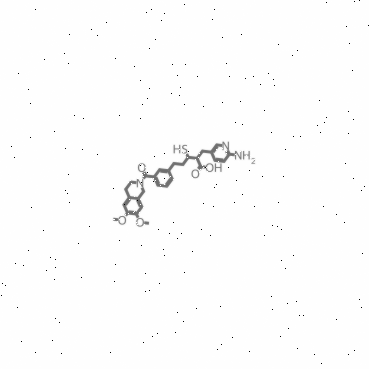 COc1cc2c(cc1OC)CN(C(=O)c1cccc(CCC(S)C(Cc3ccc(N)nc3)C(=O)O)c1)CC2